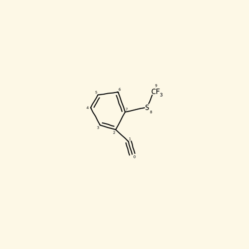 C#Cc1ccccc1SC(F)(F)F